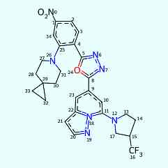 O=[N+]([O-])c1ccc(-c2nnc(-c3cc(N4CCC(C(F)(F)F)C4)n4nccc4c3)o2)c(N2CCC3(CC2)CC3)c1